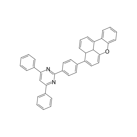 C1=CC2C(c3ccc(-c4nc(-c5ccccc5)cc(-c5ccccc5)n4)cc3)=CC=C3Oc4ccccc4C(=C1)C32